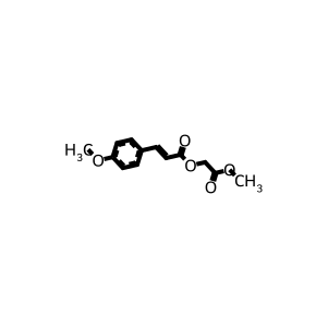 COC(=O)COC(=O)C=Cc1ccc(OC)cc1